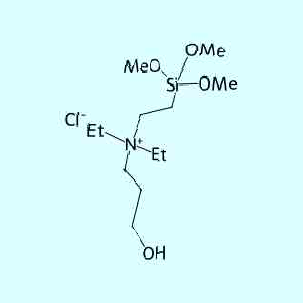 CC[N+](CC)(CCCO)CC[Si](OC)(OC)OC.[Cl-]